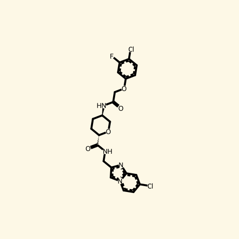 O=C(COc1ccc(Cl)c(F)c1)N[C@@H]1CC[C@@H](C(=O)NCc2cn3ccc(Cl)cc3n2)OC1